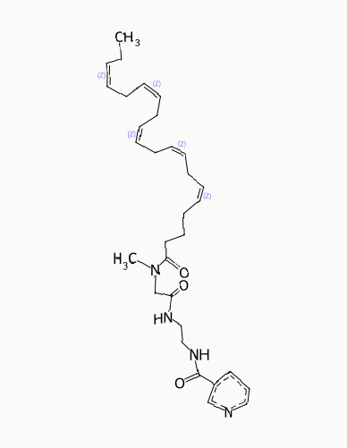 CC/C=C\C/C=C\C/C=C\C/C=C\C/C=C\CCCC(=O)N(C)CC(=O)NCCNC(=O)c1cccnc1